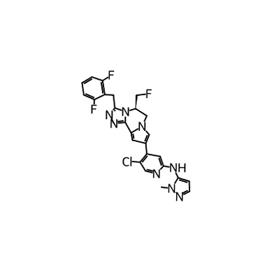 Cn1nccc1Nc1cc(-c2cc3n(c2)C[C@H](CF)n2c(Cc4c(F)cccc4F)nnc2-3)c(Cl)cn1